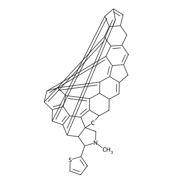 CN1CC23CC4CC5C=C6Cc7cc8c9c%10c%11c%12c%13c(c6c7c9%12)C5c5c4c2c2c4c(cc6c(c4c%11c2c5%13)C%10C(C=6)C8)C3C1c1cccs1